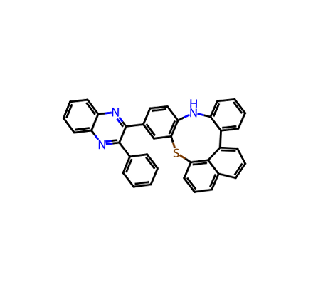 c1ccc(-c2nc3ccccc3nc2-c2ccc3c(c2)Sc2cccc4cccc(c24)-c2ccccc2N3)cc1